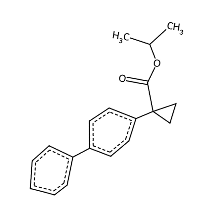 CC(C)OC(=O)C1(c2ccc(-c3ccccc3)cc2)CC1